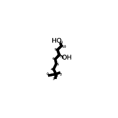 CC(C)(C)CCC[C@@H](O)CCO